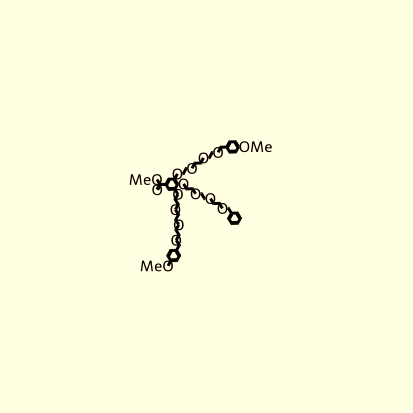 COC(=O)c1cc(OCCOCCOCCOCc2ccc(OC)cc2)c(OCCOCCOCCOCc2ccccc2)c(OCCOCCOCCOCc2ccc(OC)cc2)c1